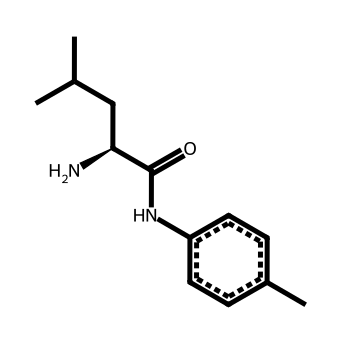 Cc1ccc(NC(=O)[C@@H](N)CC(C)C)cc1